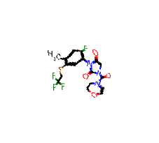 Cc1cc(F)c(N2C(=O)CN(C(=O)N3CCOCC3)C2=O)cc1SCC(F)(F)F